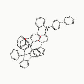 c1ccc(-c2ccc(N(c3ccc(-c4ccccc4)cc3)c3ccccc3-c3ccc4c(c3)c3ccccc3n4-c3cccc4c3C(c3ccccc3)(c3ccccc3)c3ccccc3-4)cc2)cc1